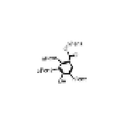 CCCCCOC(=O)c1cc(CCCCC)c(O)c(CCCCC)c1CCCCC